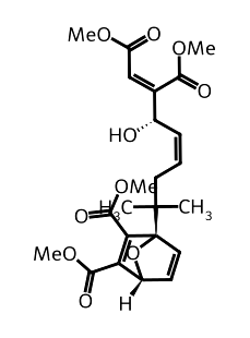 COC(=O)/C=C(\C(=O)OC)[C@@H](O)/C=C\CC(C)(C)[C@@]12C=C[C@@H](O1)C(C(=O)OC)=C2C(=O)OC